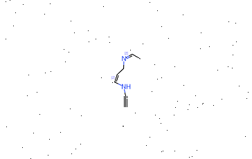 C#CN/C=C\C/N=C\C